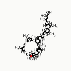 C=C1C[C@@H]2CC[C@@]34O[C@H]5[C@H]6O[C@H](CC[C@@H]6OC6[C@H]5OC(O)([C@@H]6O3)[C@H]4O)CC(=O)O[C@@H]3[C@@H](C)[C@@H]4O[C@@H]5C[C@]6(C[C@@H]7O[C@]8(C[C@H](C)[C@@H]9O[C@H]([C@@H](O)C[C@@H](O)CO)C[C@@H]9O8)C[C@H](C)[C@@H]7O6)OC5C[C@@H]4O[C@H]3CC3O[C@@H](CCC1O2)C[C@@H](C)C3=C